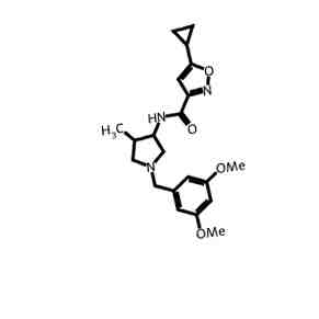 COc1cc(CN2CC(C)C(NC(=O)c3cc(C4CC4)on3)C2)cc(OC)c1